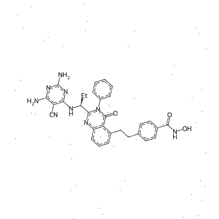 CC[C@H](Nc1nc(N)nc(N)c1C#N)c1nc2cccc(CCc3ccc(C(=O)NO)cc3)c2c(=O)n1-c1ccccc1